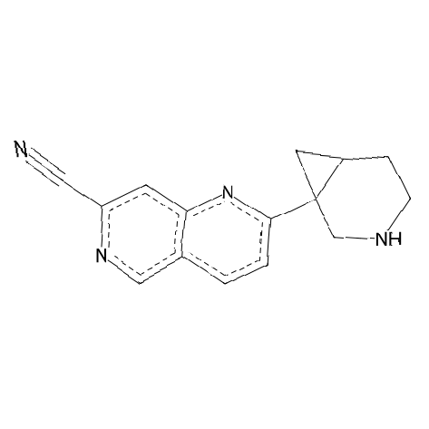 N#Cc1cc2nc(C34CNCCC3C4)ccc2cn1